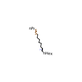 CCCCCC/C=C/CCCCCCSSCCC